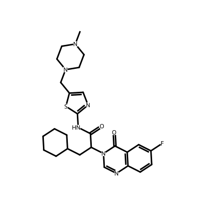 CN1CCN(Cc2cnc(NC(=O)C(CC3CCCCC3)n3cnc4ccc(F)cc4c3=O)s2)CC1